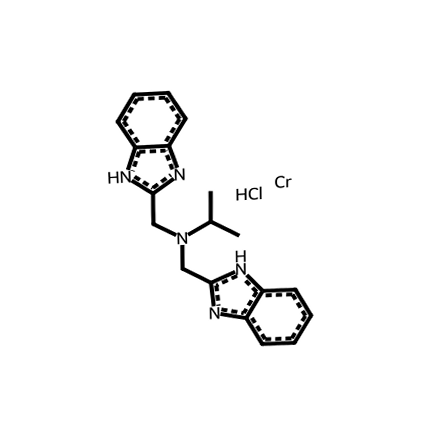 CC(C)N(Cc1nc2ccccc2[nH]1)Cc1nc2ccccc2[nH]1.Cl.[Cr]